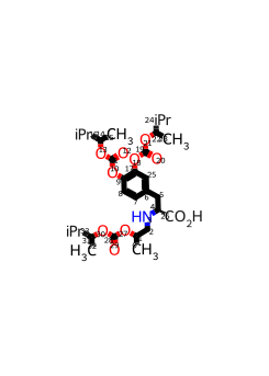 CC(CN[C@@H](Cc1ccc(OC(=O)OC(C)C(C)C)c(OC(=O)OC(C)C(C)C)c1)C(=O)O)OC(=O)OC(C)C(C)C